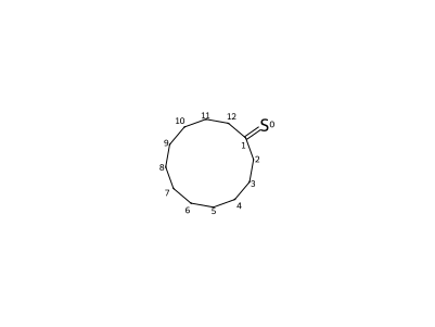 S=C1CCCCCCCCCCC1